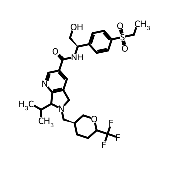 CCS(=O)(=O)c1ccc([C@H](CO)NC(=O)c2cnc3c(c2)CN(C[C@@H]2CCC(C(F)(F)F)OC2)C3C(C)C)cc1